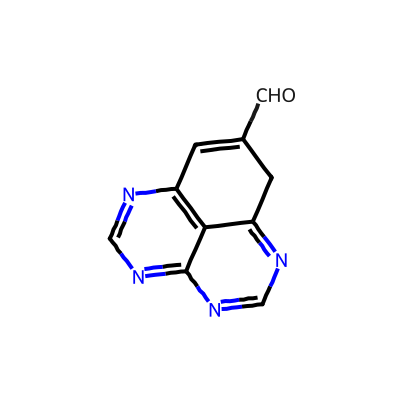 O=CC1=Cc2ncnc3ncnc(c23)C1